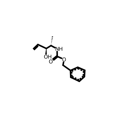 C=C[C@H](O)[C@H](C)NC(=O)OCc1ccccc1